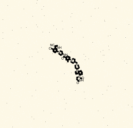 Cc1cc(C(=O)NC2CCN(c3ccc(Cl)c4c(C#N)c[nH]c34)CC2)ccc1N1CCC(CN2CCC(n3ccc4c(N5CCC(=O)NC5=O)cccc43)CC2)CC1